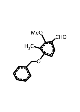 COc1c(C=O)ccc(OCc2ccccc2)c1C